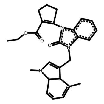 CCOC(=O)C1=C(n2c(=O)n(CC3=CN(C)C4C=CC=C(C)C34)c3ccccc32)CCC1